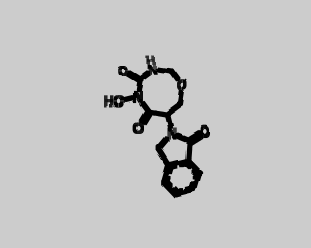 O=C1NCOCC(N2Cc3ccccc3C2=O)C(=O)N1O